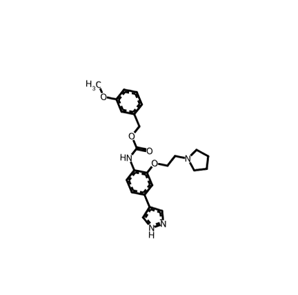 COc1cccc(COC(=O)Nc2ccc(-c3cn[nH]c3)cc2OCCN2CCCC2)c1